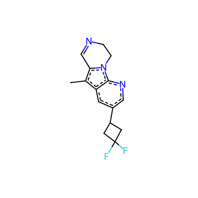 Cc1c2n(c3ncc(C4CC(F)(F)C4)cc13)CCN=C2